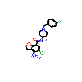 Nc1c(Cl)cc(C(=O)NC2CCN(Cc3ccc(F)cc3)CC2)c2c1CCO2